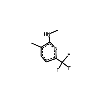 CNc1nc(C(F)(F)F)ccc1C